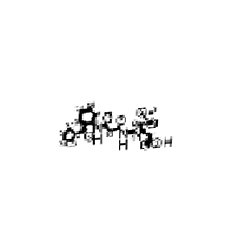 CS(=O)(=O)c1sc(NC(=O)CC(=O)Nc2ccccc2C(=O)C2CCCC2)nc1CC(=O)O